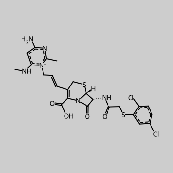 CNc1cc(N)nc(C)[n+]1C/C=C/C1=C(C(=O)O)N2C(=O)[C@@H](NC(=O)CSc3cc(Cl)ccc3Cl)[C@H]2SC1